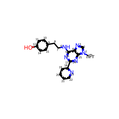 CC(C)n1cnc2c(NCCc3ccc(O)cc3)nc(-c3ccccn3)nc21